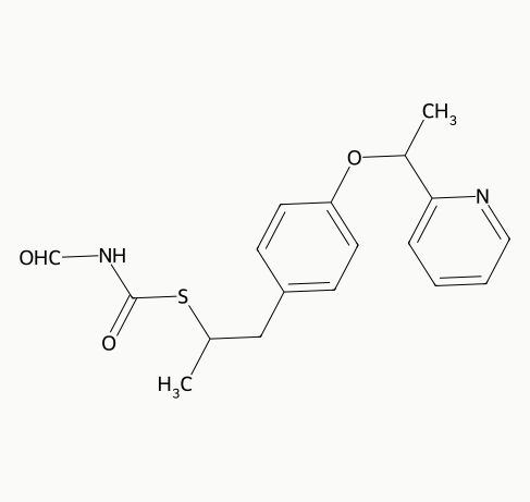 CC(Cc1ccc(OC(C)c2ccccn2)cc1)SC(=O)NC=O